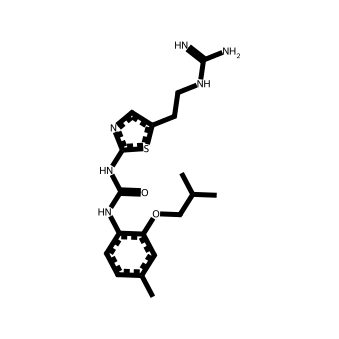 Cc1ccc(NC(=O)Nc2ncc(CCNC(=N)N)s2)c(OCC(C)C)c1